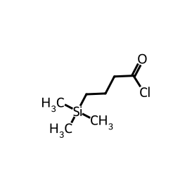 C[Si](C)(C)CCCC(=O)Cl